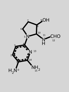 Nc1ccc(N2CCC(O)C2NC=O)nc1N